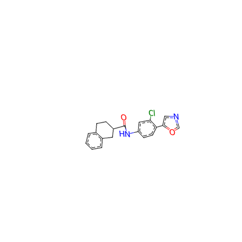 O=C(Nc1ccc(-c2cnco2)c(Cl)c1)C1CCc2ccccc2C1